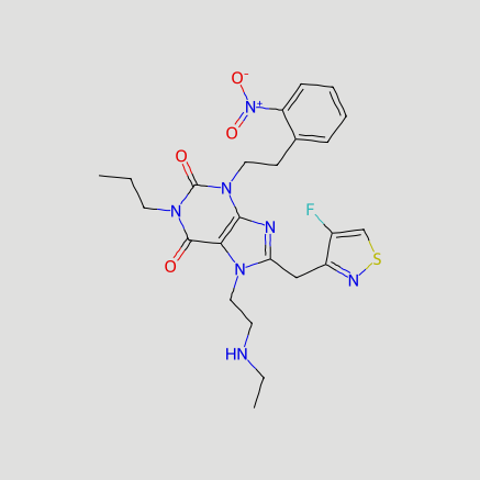 CCCn1c(=O)c2c(nc(Cc3nscc3F)n2CCNCC)n(CCc2ccccc2[N+](=O)[O-])c1=O